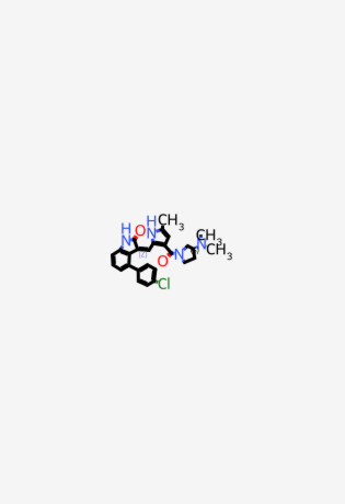 Cc1cc(C(=O)N2CC[C@H](N(C)C)C2)c(/C=C2\C(=O)Nc3cccc(-c4ccc(Cl)cc4)c32)[nH]1